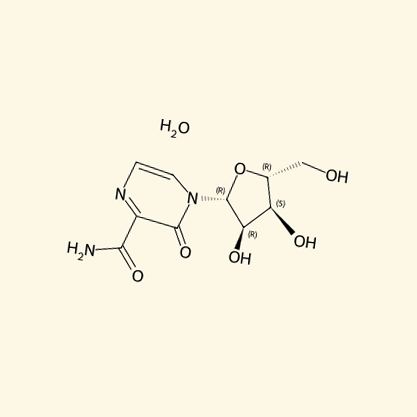 NC(=O)c1nccn([C@@H]2O[C@H](CO)[C@@H](O)[C@H]2O)c1=O.O